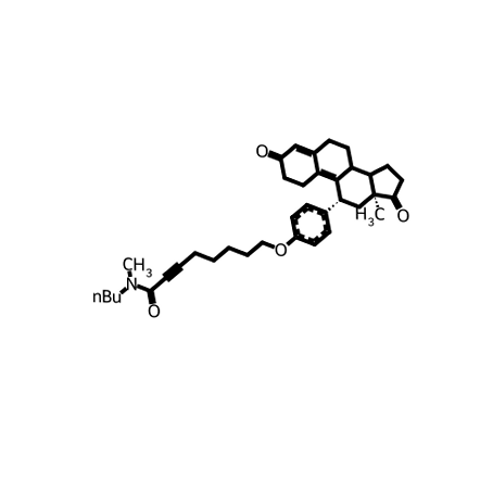 CCCCN(C)C(=O)C#CCCCCCOc1ccc([C@H]2C[C@]3(C)C(=O)CCC3C3CCC4=CC(=O)CCC4=C32)cc1